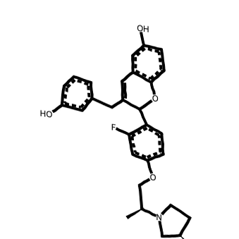 C[C@@H]1CCN([C@@H](C)COc2ccc(C3Oc4ccc(O)cc4C=C3Cc3cccc(O)c3)c(F)c2)C1